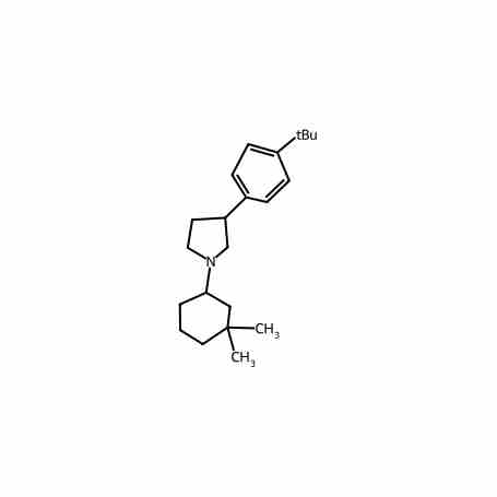 CC1(C)CCCC(N2CCC(c3ccc(C(C)(C)C)cc3)C2)C1